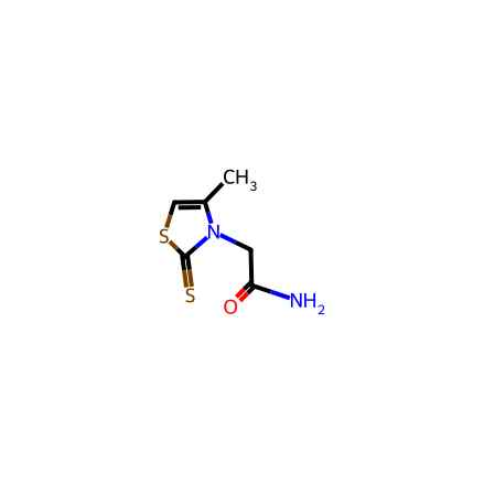 Cc1csc(=S)n1CC(N)=O